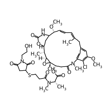 COc1cc2cc(c1Cl)N(C)C(=O)C[C@H](OC(=O)[C@H](C)N(C)C(=O)CCSC1CC(=O)N(CCO)C1=O)[C@]1(C)O[C@H]1[C@H](C)[C@@H]1CC(NC(=O)O1)[C@H](OC)/C=C/C=C(\C)C2